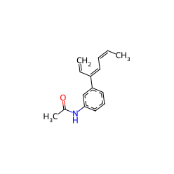 C=C/C(=C\C=C/C)c1cccc(NC(C)=O)c1